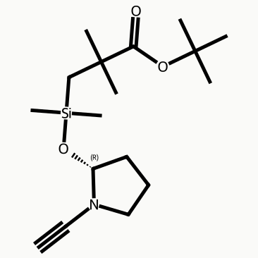 C#CN1CCC[C@H]1O[Si](C)(C)CC(C)(C)C(=O)OC(C)(C)C